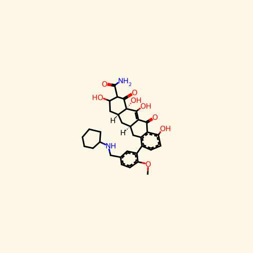 COc1ccc(CNC2CCCCC2)cc1-c1ccc(O)c2c1C[C@H]1C[C@H]3CC(O)C(C(N)=O)C(=O)[C@@]3(O)C(O)=C1C2=O